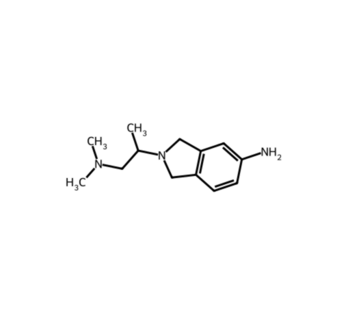 CC(CN(C)C)N1Cc2ccc(N)cc2C1